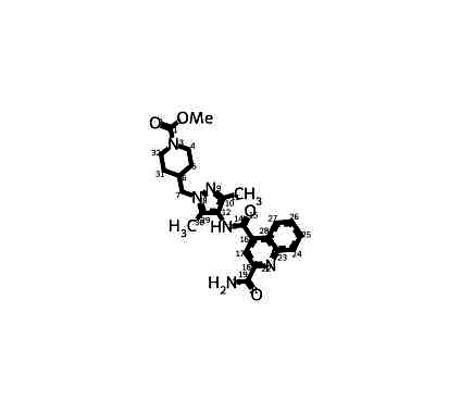 COC(=O)N1CCC(Cn2nc(C)c(NC(=O)c3cc(C(N)=O)nc4ccccc34)c2C)CC1